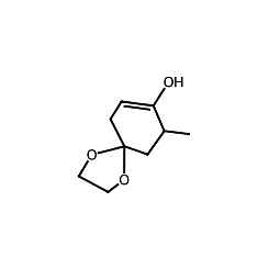 CC1CC2(CC=C1O)OCCO2